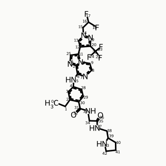 CCc1cc(Nc2nccn3c(-c4cn(CC(F)F)nc4C(F)(F)F)cnc23)ccc1C(=O)NCC(=O)NCC1CCCN1